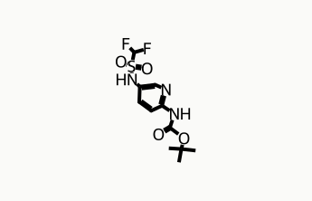 CC(C)(C)OC(=O)Nc1ccc(NS(=O)(=O)C(F)F)cn1